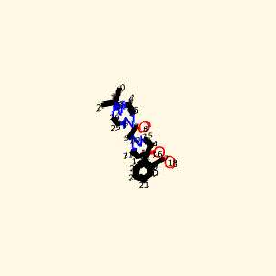 CC(C)N1CCN(C(=O)CN2CCC3(CC2)OC(=O)c2ccccc23)CC1